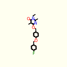 CCn1c(C)nc(OCc2ccc(OCc3ccc(F)cc3)cc2)c(C)c1=O